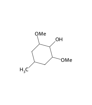 COC1CC(C)CC(OC)C1O